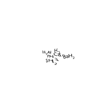 P.[AlH3].[BaH2].[CaH2].[SrH2]